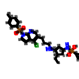 CC[C@@H]1C[C@H](NS(=O)(=O)C2CC2)C[C@@H]1NCCCc1cnc2c(ccn2S(=O)(=O)c2ccc(C)cc2)c1Cl